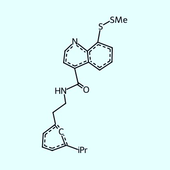 CSSc1cccc2c(C(=O)NCCc3cccc(C(C)C)c3)ccnc12